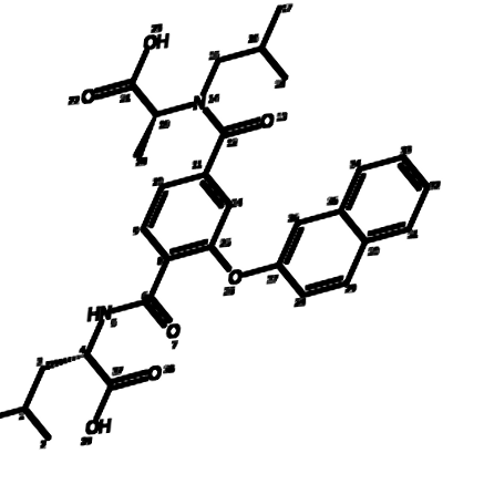 CC(C)C[C@H](NC(=O)c1ccc(C(=O)N(CC(C)C)[C@@H](C)C(=O)O)cc1Oc1ccc2ccccc2c1)C(=O)O